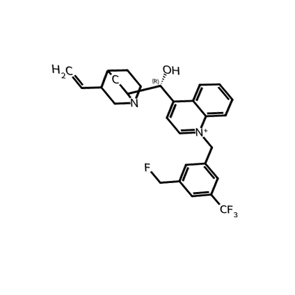 C=CC1CN2CCC1CC2[C@H](O)c1cc[n+](Cc2cc(CF)cc(C(F)(F)F)c2)c2ccccc12